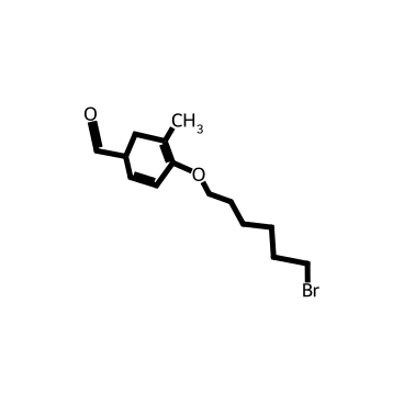 CC1=C(OCCCCCCBr)C=CC(C=O)C1